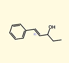 CCC(O)/C=C/c1ccccc1